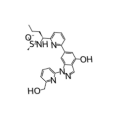 CCC[C@H](N[S@@+](C)[O-])c1cccc(-c2cc(O)c3cnn(-c4cccc(CO)n4)c3c2)n1